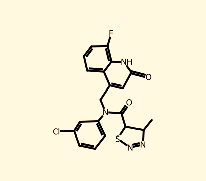 CC1N=NSC1C(=O)N(Cc1cc(=O)[nH]c2c(F)cccc12)c1cccc(Cl)c1